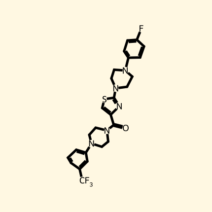 O=C(c1csc(N2CCN(c3ccc(F)cc3)CC2)n1)N1CCN(c2cccc(C(F)(F)F)c2)CC1